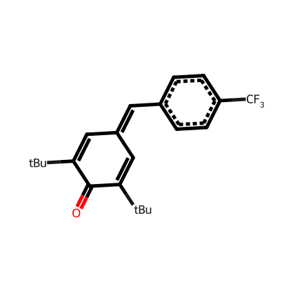 CC(C)(C)C1=CC(=Cc2ccc(C(F)(F)F)cc2)C=C(C(C)(C)C)C1=O